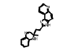 CC1(CCc2nc3c(ccc4ncccc43)[nH]2)C=Nc2ccccc2N1